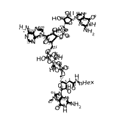 CCCCCCNC(=O)C[C@@H]1[C@@H](COP(=O)(O)OP(=O)(O)OP(=O)(O)OC[C@H]2O[C@@H](n3cnc4c(N)ncnc43)[C@H](OC)[C@@H]2OP(=O)(O)OC[C@H]2O[C@@H](n3cnc4c(=O)[nH]c(N)nc43)[C@H](O)[C@@H]2O)OC(n2c[n+](C)c3c(=O)[nH]c(N)nc32)[C@@H]1O